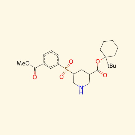 COC(=O)c1cccc(S(=O)(=O)C2CNCC(C(=O)OC3(C(C)(C)C)CCCCC3)C2)c1